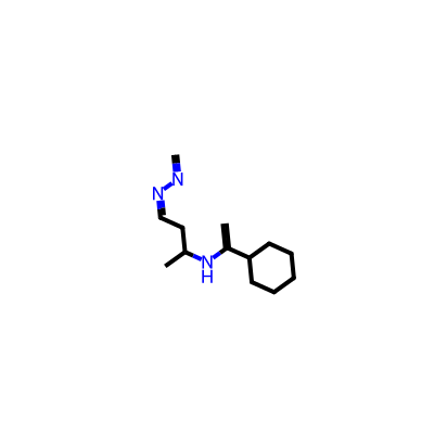 C=N/N=C\CC(C)NC(=C)C1CCCCC1